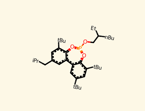 CCCCC(CC)COp1oc2c(C(C)(C)C)cc(CC(C)C)cc2c2cc(C(C)(C)C)cc(C(C)(C)C)c2o1